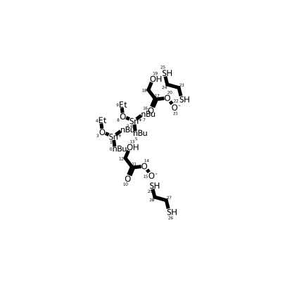 CCC[CH2][Sn+]([CH2]CCC)[O]CC.CCC[CH2][Sn+]([CH2]CCC)[O]CC.O=C(CO)O[O-].O=C(CO)O[O-].SCCS.SCCS